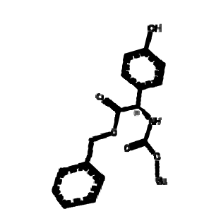 CC(C)(C)OC(=O)N[C@@H](C(=O)OCc1ccccc1)c1ccc(O)cc1